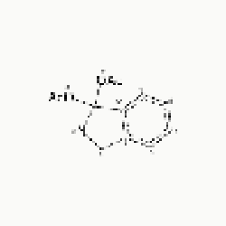 CC(=O)OC1(OC(C)=O)[N]Cc2ccccc21